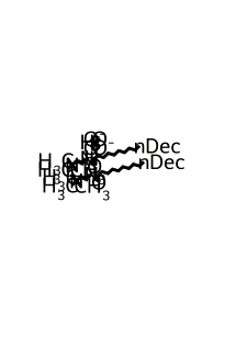 CCCCCCCCCCCCCCCCCCC(=O)NCC[N+](C)(C)C.CCCCCCCCCCCCCCCCCCC(=O)NCC[N+](C)(C)C.O=S(=O)([O-])[O-]